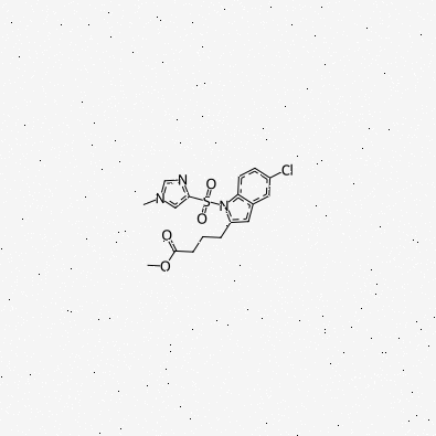 COC(=O)CCCc1cc2cc(Cl)ccc2n1S(=O)(=O)c1cn(C)cn1